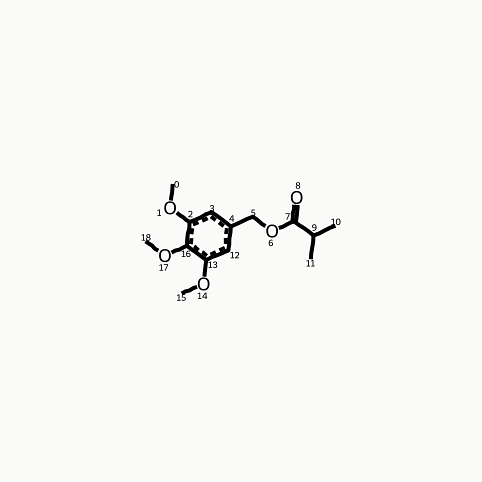 COc1cc(COC(=O)C(C)C)cc(OC)c1OC